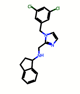 Clc1cc(Cl)cc(Cn2ccnc2CNC2CCc3ccccc32)c1